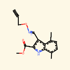 C#CCO/N=C/c1c(C(=O)OC)[nH]c2c(C)ccc(C)c12